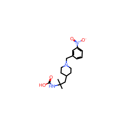 CC(C)(CC1CCN(Cc2cccc([N+](=O)[O-])c2)CC1)NC(=O)O